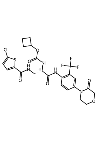 O=C(N[C@@H](CNC(=O)c1ccc(Cl)s1)C(=O)Nc1ccc(N2CCOCC2=O)cc1C(F)(F)F)OC1CCC1